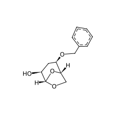 O[C@H]1C[C@@H](OCc2ccccc2)[C@@H]2CO[C@H]1O2